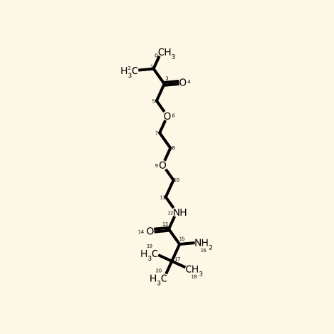 CC(C)C(=O)COCCOCCNC(=O)C(N)C(C)(C)C